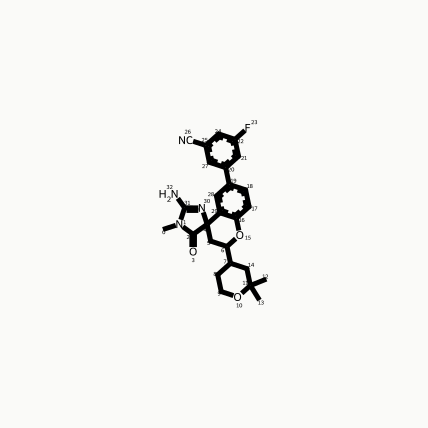 CN1C(=O)C2(CC(C3CCOC(C)(C)C3)Oc3ccc(-c4cc(F)cc(C#N)c4)cc32)N=C1N